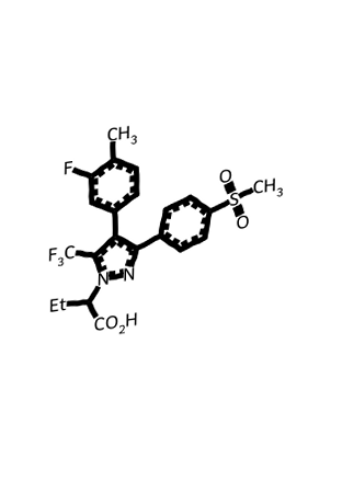 CCC(C(=O)O)n1nc(-c2ccc(S(C)(=O)=O)cc2)c(-c2ccc(C)c(F)c2)c1C(F)(F)F